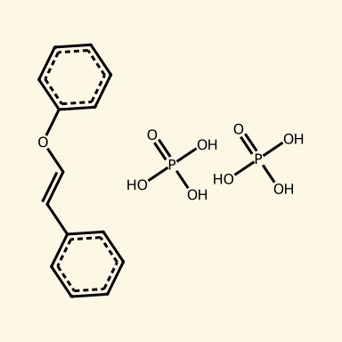 C(=Cc1ccccc1)Oc1ccccc1.O=P(O)(O)O.O=P(O)(O)O